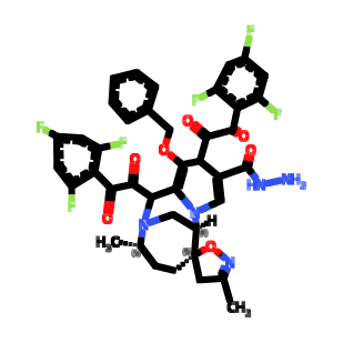 CC1=NO[C@@]2(CC[C@H](C)N3C[C@H]2N2C=C(C(=O)NN)C(C(=O)C(=O)c4c(F)cc(F)cc4F)C(OCc4ccccc4)=C2C3C(=O)C(=O)c2c(F)cc(F)cc2F)C1